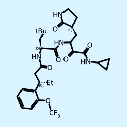 CC[C@@H](CC(=O)N[C@@H](CC(C)(C)C)C(=O)NC(C[C@@H]1CCNC1=O)C(=O)C(=O)NC1CC1)c1ccccc1OC(F)(F)F